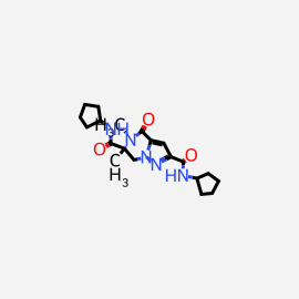 CN1C(=O)c2cc(C(=O)NC3CCCC3)nn2CC1(C)C(=O)NC1CCCC1